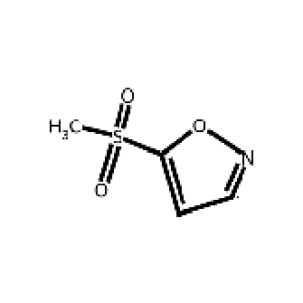 CS(=O)(=O)c1c[c]no1